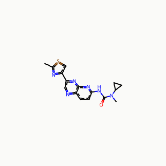 Cc1nc(-c2cnc3ccc(NC(=O)N(C)C4CC4)nc3n2)cs1